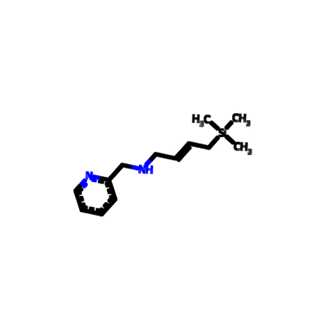 C[Si](C)(C)CC=CCNCc1ccccn1